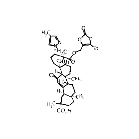 CCc1oc(=O)oc1COC(=O)[C@]1(C)[C@@H](n2cc(C)cn2)CC[C@@]2(C)[C@H]1CC[C@]1(C)[C@@H]2C(=O)C=C2[C@@H]3C[C@@](C)(C(=O)O)CC[C@]3(C)CC[C@]21C